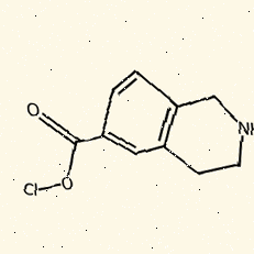 O=C(OCl)c1ccc2c(c1)CCNC2